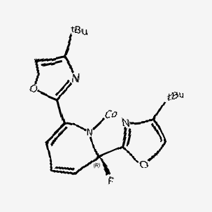 CC(C)(C)c1coc(C2=CC=C[C@@](F)(c3nc(C(C)(C)C)co3)[N]2[Co])n1